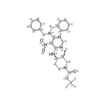 CC(C)(C)OC(=O)N1CC[C@@H](Nc2ncnc(N(Cc3ccccc3)Cc3ccccc3)c2[N+](=O)[O-])[C@@H](F)C1